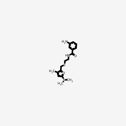 Cc1cc(N(C)C)oc1CSCCNC(=O)c1cccc(N)c1